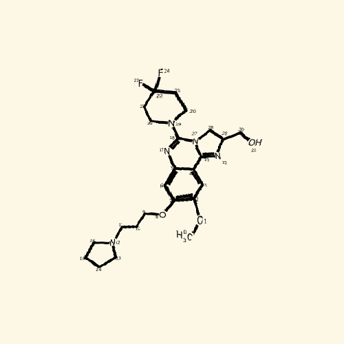 COc1cc2c(cc1OCCCN1CCCC1)N=C(N1CCC(F)(F)CC1)N1CC(CO)N=C21